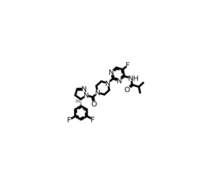 CC(C)C(=O)Nc1nc(N2CCN(C(=O)N3N=CC[C@H]3c3cc(F)cc(F)c3)CC2)ncc1F